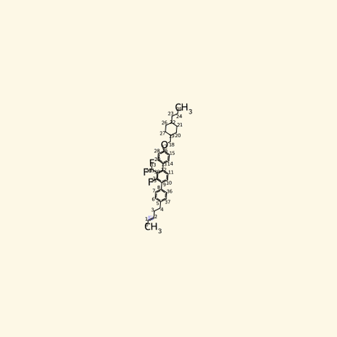 C/C=C/CCc1ccc(-c2ccc(-c3ccc(OCC4CCC(CCC)CC4)cc3)c(C(F)F)c2F)cc1